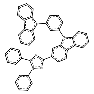 c1ccc(-c2nc(-c3ccc4c5ccccc5n(-c5cccc(-n6c7ccccc7c7ccccc76)c5)c4c3)nn2-c2ccccc2)cc1